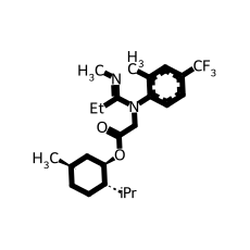 CC/C(=N\C)N(CC(=O)O[C@@H]1C[C@H](C)CC[C@H]1C(C)C)c1ccc(C(F)(F)F)cc1C